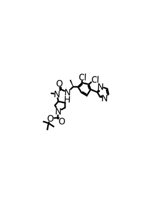 C[C@H](NC(=O)N(C)C1CCN(C(=O)OC(C)(C)C)C1)c1ccc(-c2cnccn2)c(Cl)c1Cl